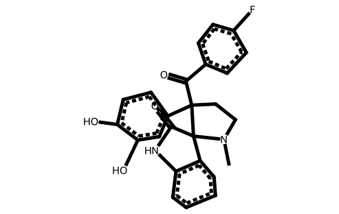 CN1CCC(C(=O)c2ccc(F)cc2)(c2ccc(O)c(O)c2)C12C(=O)Nc1ccccc12